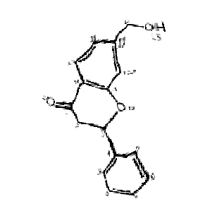 O=C1C[C@H](c2ccccc2)Oc2cc(CO)ccc21